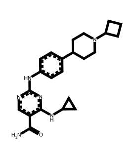 NC(=O)c1cnc(Nc2ccc(C3CCN(C4CCC4)CC3)cc2)nc1NC1CC1